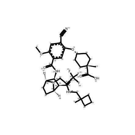 COc1cc(C#N)c(O[C@H]2CC[C@@](C)(C(=O)O)CC2)cc1C(=O)N[C@H]1[C@@H](C(=O)NCC2(C)CCC2)[C@H]2CC[C@@H]1N2CCC(F)(F)F